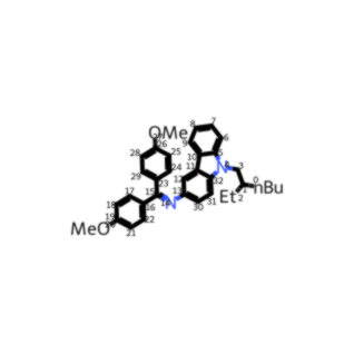 CCCCC(CC)Cn1c2ccccc2c2cc(N=C(c3ccc(OC)cc3)c3ccc(OC)cc3)ccc21